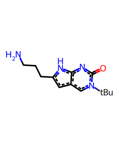 CC(C)(C)n1cc2cc(CCCN)[nH]c2nc1=O